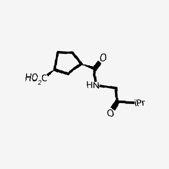 CC(C)C(=O)CNC(=O)[C@@H]1CC[C@H](C(=O)O)C1